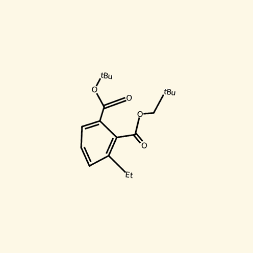 CCc1cccc(C(=O)OC(C)(C)C)c1C(=O)OCC(C)(C)C